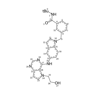 CC(C)(C)NC(=O)c1cccc(Cn2ccc3cc(Nc4ncnc5ccn(CCO)c45)ccc32)c1